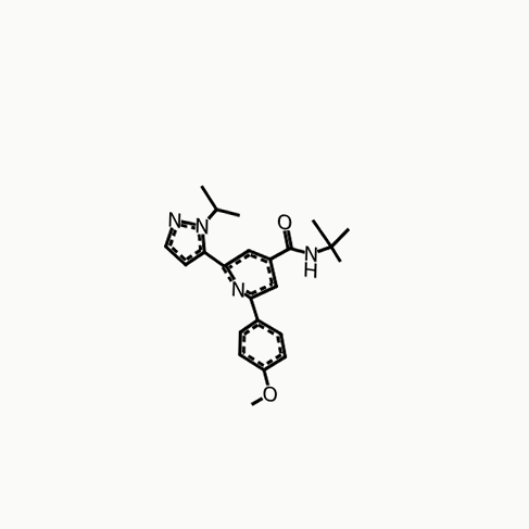 COc1ccc(-c2cc(C(=O)NC(C)(C)C)cc(-c3ccnn3C(C)C)n2)cc1